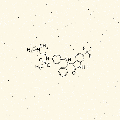 CN(C)CCN(c1ccc(NC(=C2C(=O)Nc3cc(C(F)(F)F)ccc32)c2ccccc2)cc1)S(C)(=O)=O